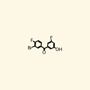 O=C(c1cc(O)cc(F)c1)c1ccc(F)c(Br)c1